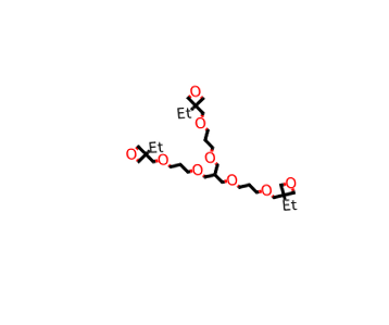 CCC1(COCCCOCC(COCCCOCC2(CC)COC2)COCCCOCC2(CC)COC2)COC1